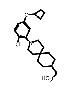 O=C(O)CC1CCC2(CC1)CCN(c1cc(OC3CCC3)ccc1Cl)CC2